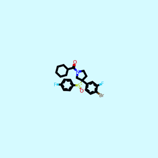 O=C(C1CCCCC1)N1CC[C@](c2ccc(Br)c(F)c2)([S+]([O-])c2ccc(F)cc2)C1